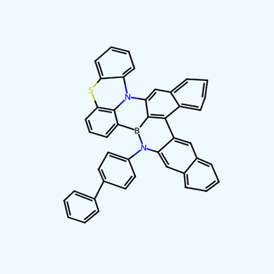 c1ccc(-c2ccc(N3B4c5cccc6c5N(c5ccccc5S6)c5cc6ccccc6c(c54)-c4cc5ccccc5cc43)cc2)cc1